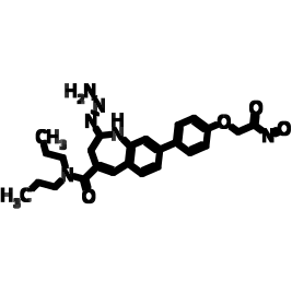 CCCN(CCC)C(=O)C1=Cc2ccc(-c3ccc(OCC(=O)N=O)cc3)cc2NC(N=NN)C1